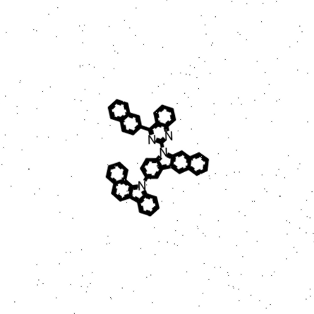 c1ccc2cc(-c3nc(-n4c5ccc(-n6c7ccccc7c7ccc8ccccc8c76)cc5c5cc6ccccc6cc54)nc4ccccc34)ccc2c1